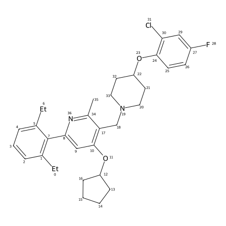 CCc1cccc(CC)c1-c1cc(OC2CCCC2)c(CN2CCC(Oc3ccc(F)cc3Cl)CC2)c(C)n1